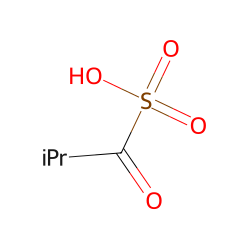 CC(C)C(=O)S(=O)(=O)O